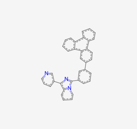 c1cncc(-c2nc(-c3cccc(-c4ccc5c6ccccc6c6ccccc6c5c4)c3)n3ccccc23)c1